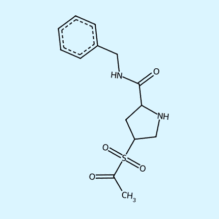 CC(=O)S(=O)(=O)C1CNC(C(=O)NCc2ccccc2)C1